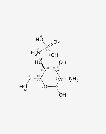 NP(=O)(O)O.N[C@@H]1C(O)O[C@H](CO)[C@@H](O)[C@@H]1O